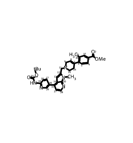 COC(=O)c1ccc(C2=CCN(Cc3cc4c(-c5ccc(NC(=O)OC(C)(C)C)nc5)ccnc4n3C)CC2)c(C)c1